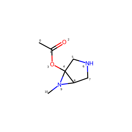 CC(=O)OC12CNCC1N2C